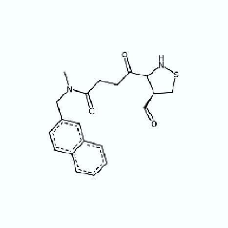 CN(Cc1ccc2ccccc2c1)C(=O)CCC(=O)C1NSC[C@H]1C=O